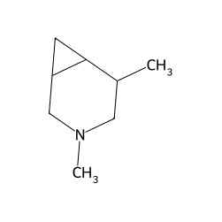 CC1CN(C)CC2CC12